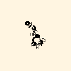 O=C(C[C@H]1CCCN(c2nc3ccccc3s2)C1)Nc1ccc2cc1CCc1cncc(c1)Nc1ncc(Cl)c(n1)N2